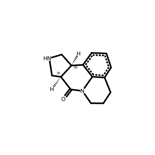 O=C1[C@H]2CNC[C@H]2c2cccc3c2N1CCC3